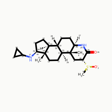 C[S+]([O-])[C@@H]1C[C@@]2(C)[C@@H](CC[C@@H]3[C@@H]2CC[C@]2(C)[C@@H](NC4CC4)CC[C@@H]32)NC1=O